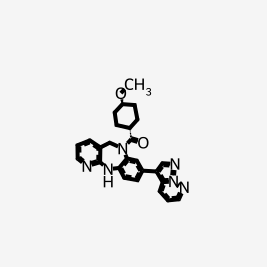 CO[C@H]1CC[C@H](C(=O)N2Cc3cccnc3Nc3ccc(-c4cnn5ncccc45)cc32)CC1